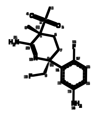 C[C@@]1(S(C)(=O)=O)CC[C@@](CF)(c2cc(N)ccc2F)N=C1N